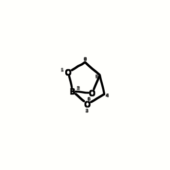 C1OB2OCC1O2